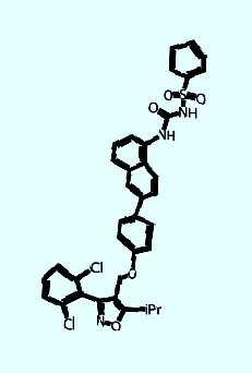 CC(C)c1onc(-c2c(Cl)cccc2Cl)c1COc1ccc(-c2ccc3c(NC(=O)NS(=O)(=O)c4ccccc4)cccc3c2)cc1